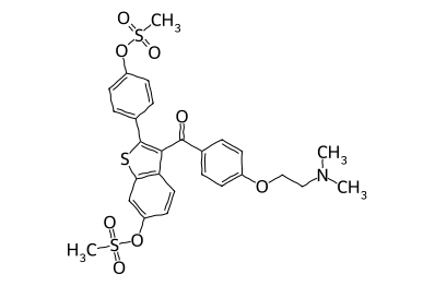 CN(C)CCOc1ccc(C(=O)c2c(-c3ccc(OS(C)(=O)=O)cc3)sc3cc(OS(C)(=O)=O)ccc23)cc1